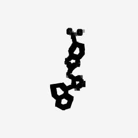 O=[N+]([O-])c1ccc2nc(Sc3nnnn3-c3cccc4ccccc34)sc2c1